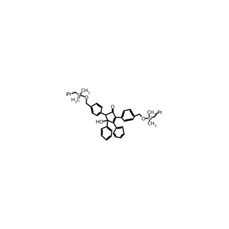 CC(C)C[Si](C)(C)OCc1ccc(C2=C(c3ccccc3)C(O)(c3ccccc3)C(c3ccc(CO[Si](C)(C)CC(C)C)cc3)C2=O)cc1